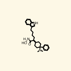 CN(C)C1(c2ccccc2)CCC(=C(CCCCc2c[nH]c3ccccc23)C(N)=O)CC1.Cl